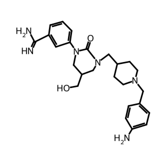 N=C(N)c1cccc(N2CC(CO)CN(CC3CCN(Cc4ccc(N)cc4)CC3)C2=O)c1